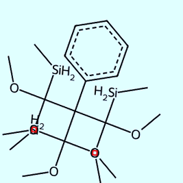 COC(OC)([SiH2]C)C(c1ccccc1)(C(OC)(OC)[SiH2]C)C(OC)(OC)[SiH2]C